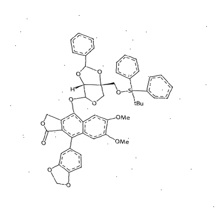 COc1cc2c(OC3OC[C@@]4(CO[Si](c5ccccc5)(c5ccccc5)C(C)(C)C)OC(c5ccccc5)O[C@@H]34)c3c(c(-c4ccc5c(c4)OCO5)c2cc1OC)C(=O)OC3